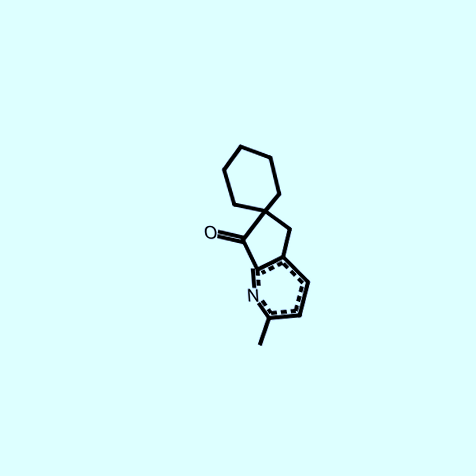 Cc1ccc2c(n1)C(=O)C1(CCCCC1)C2